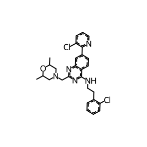 CC1CN(Cc2nc(NCCc3ccccc3Cl)c3ccc(-c4ncccc4Cl)cc3n2)CC(C)O1